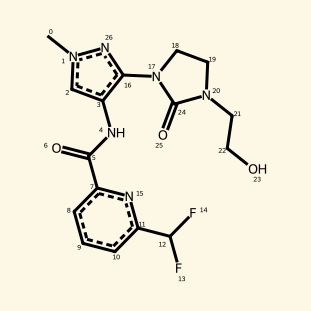 Cn1cc(NC(=O)c2cccc(C(F)F)n2)c(N2CCN(CCO)C2=O)n1